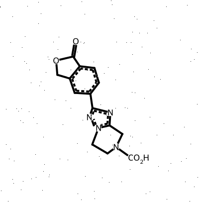 O=C1OCc2cc(-c3nc4n(n3)CCN(C(=O)O)C4)ccc21